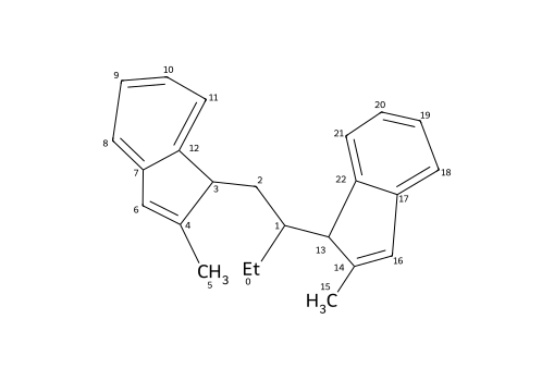 CCC(CC1C(C)=Cc2ccccc21)C1C(C)=Cc2ccccc21